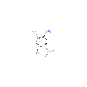 Cc1cc(N)c(N)cc1[N+](=O)[O-]